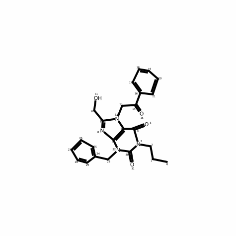 CCCn1c(=O)c2c(nc(CO)n2CC(=O)c2ccccc2)n(Cc2ccccc2)c1=O